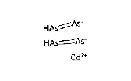 [As-]=[AsH].[As-]=[AsH].[Cd+2]